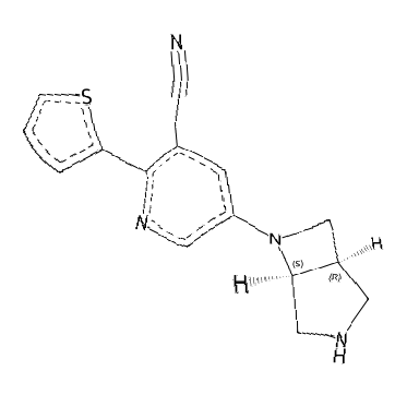 N#Cc1cc(N2C[C@H]3CNC[C@H]32)cnc1-c1cccs1